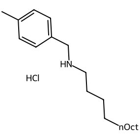 CCCCCCCCCCCCNCc1ccc(C)cc1.Cl